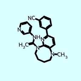 C=C(Nc1cccnc1)N1CCCCN(C)c2ccc(-c3cccc(C#N)c3)nc21